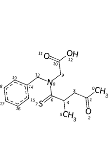 CC(=O)CC(C)C(=S)N(CC(=O)O)Cc1ccccc1